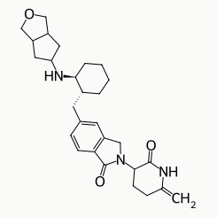 C=C1CCC(N2Cc3cc(C[C@H]4CCCC[C@@H]4NC4CC5COCC5C4)ccc3C2=O)C(=O)N1